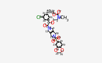 CN(CCOC(C(=O)N1CC2=C(C1)CN(S(=O)(=O)c1ccc3c(c1)OCCO3)C2)c1cccc(Cl)c1)C(=O)OC(C)(C)C